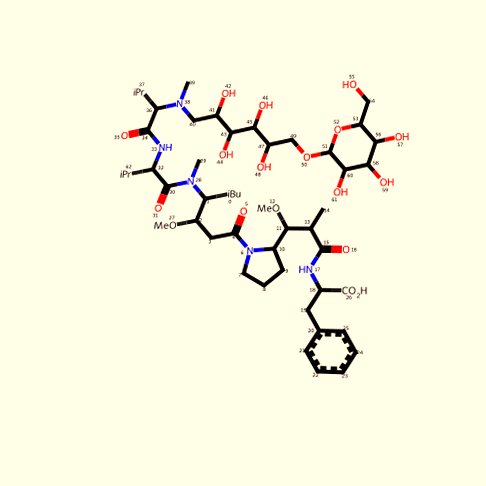 CCC(C)C(C(CC(=O)N1CCCC1C(OC)C(C)C(=O)NC(Cc1ccccc1)C(=O)O)OC)N(C)C(=O)C(NC(=O)C(C(C)C)N(C)CC(O)C(O)C(O)C(O)COC1OC(CO)C(O)C(O)C1O)C(C)C